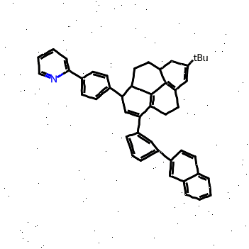 CC(C)(C)C1=CC2=C3C4=C(CC2)C(c2cccc(-c5ccc6ccccc6c5)c2)=CC(c2ccc(-c5ccccn5)cc2)C4CCC3C1